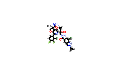 C[C@]1(C(N)=O)COc2c1cc(C(O)(CNC(=O)c1cc(Cl)c3nn(C4CC4)cc3c1)C1CC1)nc2-c1ccc(F)c(F)c1Cl